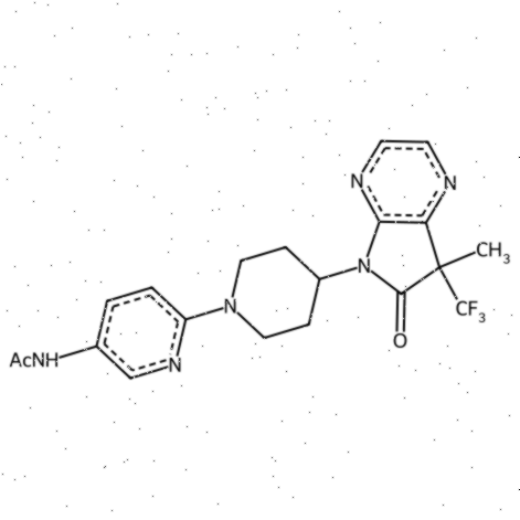 CC(=O)Nc1ccc(N2CCC(N3C(=O)C(C)(C(F)(F)F)c4nccnc43)CC2)nc1